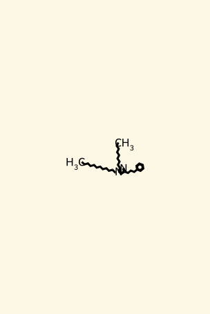 CCCCCCCCCCCCn1cc(CCCc2ccccc2)nc1CCCCCCCC